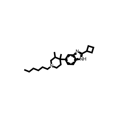 CCCCCCN1CCC(C)(c2ccc3[nH]c(C4CCC4)nc3c2)C(C)C1